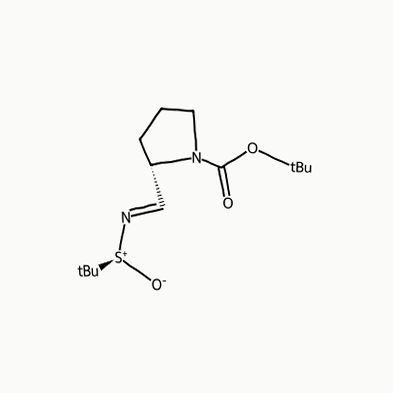 CC(C)(C)OC(=O)N1CCC[C@H]1C=N[S@@+]([O-])C(C)(C)C